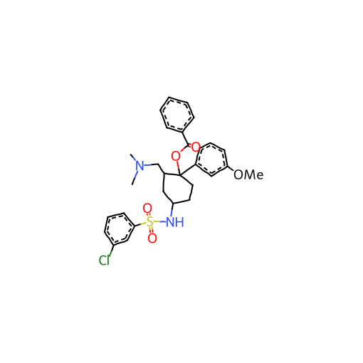 COc1cccc(C2(OC(=O)c3ccccc3)CCC(NS(=O)(=O)c3cccc(Cl)c3)CC2CN(C)C)c1